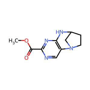 COC(=O)c1ncc2c(n1)NC1CCN2C1